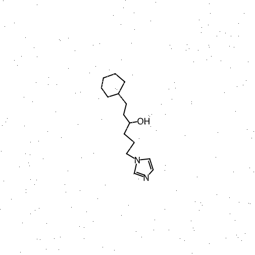 OC(CCCn1ccnc1)CCC1CCCCC1